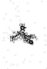 BC(B)(N)CCC[C@](B)(NC(=O)[C@H](Cc1c(C)cc(O)cc1C)NC(=O)[C@H](N)CCCNC(=N)N)C(=O)N[C@@H](Cc1ccccc1)C(N)=O